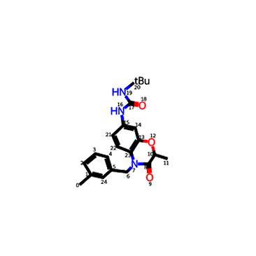 Cc1cccc(CN2C(=O)C(C)Oc3cc(NC(=O)NC(C)(C)C)ccc32)c1